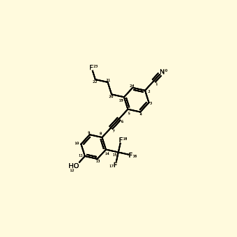 N#Cc1ccc(C#Cc2ccc(O)cc2C(F)(F)F)c(CCCF)c1